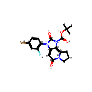 CC(C)(C)OC(=O)n1c(=O)n(-c2ccc(Br)cc2F)c2cc(=O)n3c(c21)CCC3